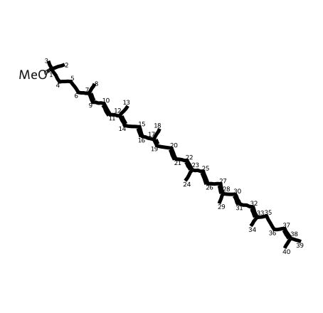 COC(C)(C)CCC/C(C)=C/C=C/C(C)=C/C=C/C(C)=C/C=C/C=C(C)/C=C/C=C(C)/C=C/C=C(\C)CCC=C(C)C